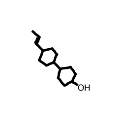 C/C=C/C1CCC(C2CCC(O)CC2)CC1